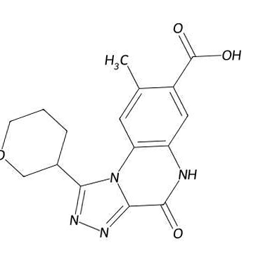 Cc1cc2c(cc1C(=O)O)[nH]c(=O)c1nnc(C3CCCOC3)n12